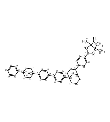 CC1(C)OB(c2ccc(C3CCC4(c5ccc(-c6ccc(C78CCC(c9ccccc9)(CC7)CC8)cc6)cc5)CCCC3C4)cc2)OC1(C)C